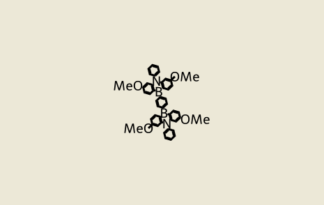 COc1ccc2c(c1)N(c1ccccc1)c1cc(OC)ccc1B2c1ccc(B2c3ccc(OC)cc3N(c3ccccc3)c3cc(OC)ccc32)cc1